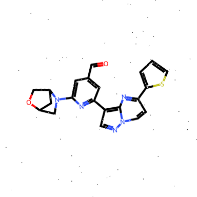 O=Cc1cc(-c2cnn3ccc(-c4cccs4)nc23)nc(N2CC3CC2CO3)c1